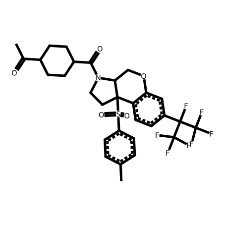 CC(=O)C1CCC(C(=O)N2CCC3(S(=O)(=O)c4ccc(C)cc4)c4ccc(C(F)(C(F)(F)F)C(F)(F)F)cc4OCC23)CC1